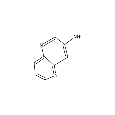 [NH]c1cnc2cccnc2c1